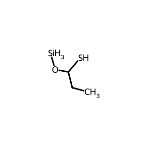 CCC(S)O[SiH3]